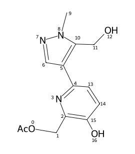 CC(=O)OCc1nc(-c2cnn(C)c2CO)ccc1O